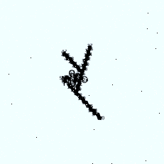 CCCCCCCCCCCCCCC(CCCC)CCCCC(=O)N(CC(CCCCCCCCCC)CCCCCCCCCC)CC(CO)[PH](=O)CCN(C)C